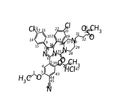 CCOc1cc(C2=N[C@@H](c3ccc(Cl)cc3)[C@@H](c3ccc(Cl)cc3)N2C(=O)N2CCN(CCS(C)(=O)=O)CC2)c(OCC)cc1C#N.Cl